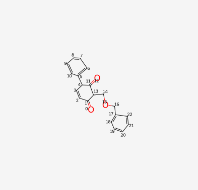 O=C1C=CC(c2ccccc2)C(=O)C1COCc1ccccc1